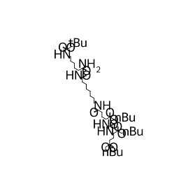 CCCCOC(=O)CCC(NC(=O)NC(CCC(=O)NCCCCCCCC(=O)NC(CCCCNC(=O)OC(C)(C)C)C(N)=O)C(=O)OCCCC)C(=O)OCCCC